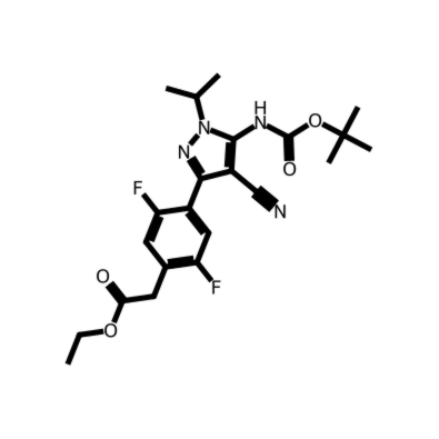 CCOC(=O)Cc1cc(F)c(-c2nn(C(C)C)c(NC(=O)OC(C)(C)C)c2C#N)cc1F